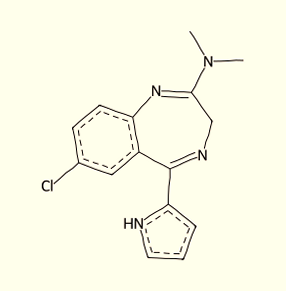 CN(C)C1=Nc2ccc(Cl)cc2C(c2ccc[nH]2)=NC1